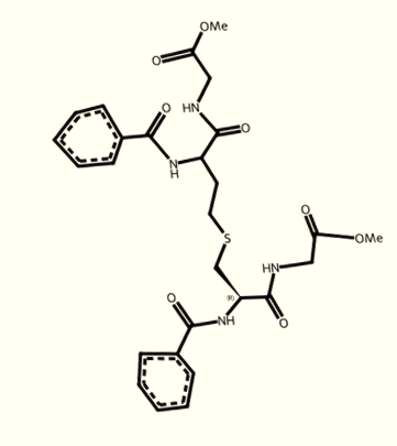 COC(=O)CNC(=O)C(CCSC[C@H](NC(=O)c1ccccc1)C(=O)NCC(=O)OC)NC(=O)c1ccccc1